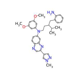 COc1cc(OC)cc(N(CCC(Cc2ccccc2N)C(C)C)c2ccc3ncc(-c4cnn(C)c4)nc3c2)c1